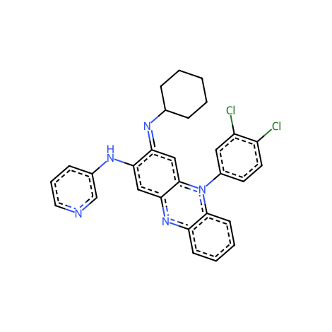 Clc1ccc(-n2c3c/c(=N\C4CCCCC4)c(Nc4cccnc4)cc-3nc3ccccc32)cc1Cl